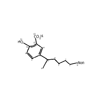 CCCCCCCCCCCCCC(C)c1ccc(O)c(C(=O)O)c1